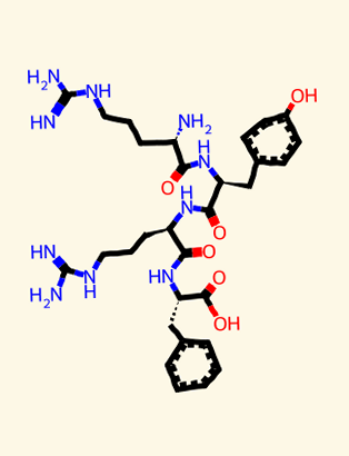 N=C(N)NCCC[C@H](N)C(=O)N[C@@H](Cc1ccc(O)cc1)C(=O)N[C@H](CCCNC(=N)N)C(=O)N[C@@H](Cc1ccccc1)C(=O)O